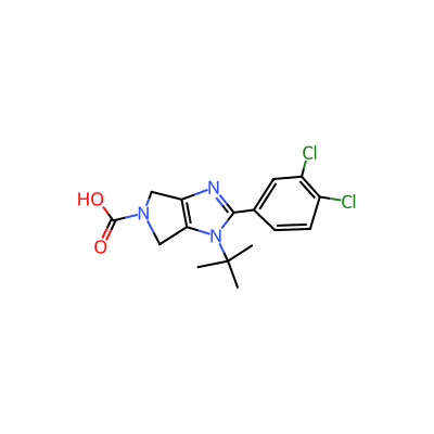 CC(C)(C)n1c(-c2ccc(Cl)c(Cl)c2)nc2c1CN(C(=O)O)C2